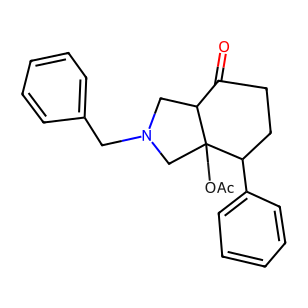 CC(=O)OC12CN(Cc3ccccc3)CC1C(=O)CCC2c1ccccc1